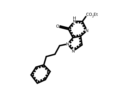 CCOC(=O)c1nc2cnn(CCCc3ccccc3)c2c(=O)[nH]1